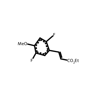 CCOC(=O)/C=C/c1cc(F)c(OC)cc1F